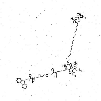 CC(C)(C)OC(=O)CCCCCCCCCCCCCCCCC(=O)N[C@@H](CCCCNC(=O)CCOCCOCCNC(=O)OCC1c2ccccc2-c2ccccc21)C(=O)OC(C)(C)C